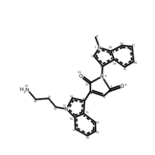 Cn1cc(N2C(=O)C=C(c3cn(CCCN)c4ccccc34)C2=O)c2ccccc21